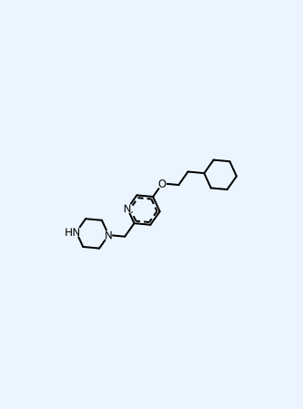 c1cc(CN2CCNCC2)ncc1OCCC1CCCCC1